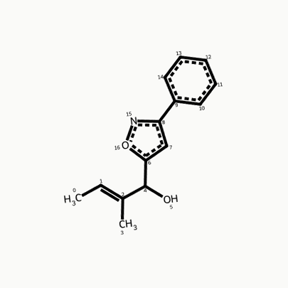 CC=C(C)C(O)c1cc(-c2ccccc2)no1